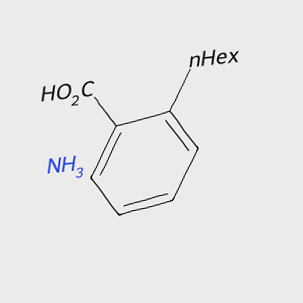 CCCCCCc1ccccc1C(=O)O.N